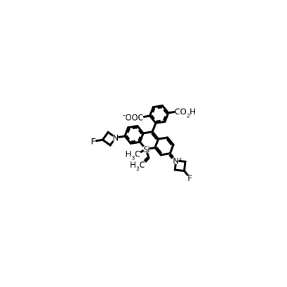 C=C[Si]1(C)C2=CC(=[N+]3CC(F)C3)C=CC2=C(c2cc(C(=O)O)ccc2C(=O)[O-])c2ccc(N3CC(F)C3)cc21